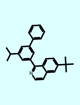 CC(C)c1cc(-c2ccccc2)cc(-c2nccc3cc(C(C)(C)C)ccc23)c1